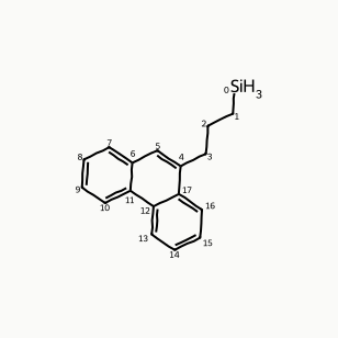 [SiH3]CCCc1cc2ccccc2c2ccccc12